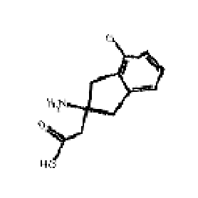 NC1(CC(=O)O)Cc2cccc(Cl)c2C1